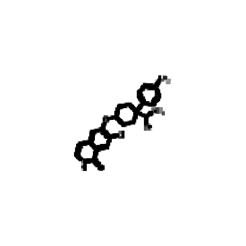 CCC(N)[C@]1(c2ccc(C(F)(F)F)cc2)CC[C@H](Oc2cc3cc[nH]c(=O)c3cc2Cl)CC1